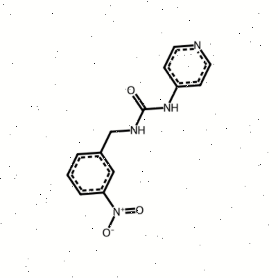 O=C(NCc1cccc([N+](=O)[O-])c1)Nc1ccncc1